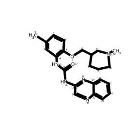 Cc1ccc(OCC2CCCN(C)C2)c(NC(=O)Nc2cnc3ccccc3n2)c1